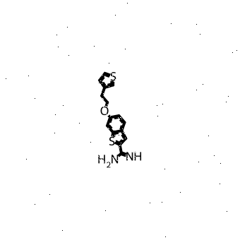 N=C(N)c1cc2ccc(OCCc3ccsc3)cc2s1